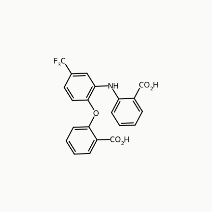 O=C(O)c1ccccc1Nc1cc(C(F)(F)F)ccc1Oc1ccccc1C(=O)O